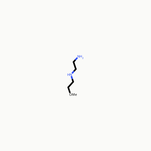 COCCNCCN